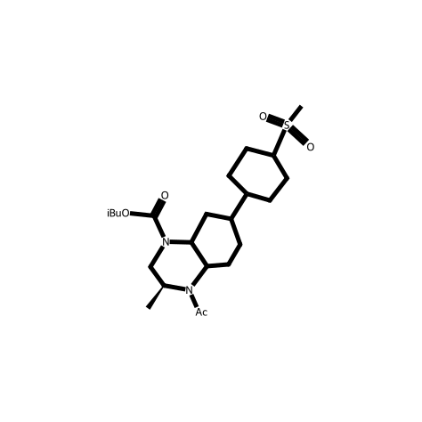 CC(=O)N1C2CCC(C3CCC(S(C)(=O)=O)CC3)CC2N(C(=O)OCC(C)C)C[C@@H]1C